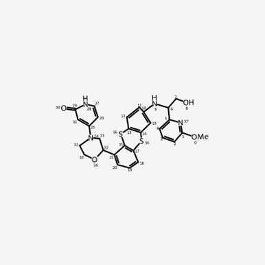 COc1cccc(C(CO)Nc2ccc3c(c2)Sc2cccc(C4CN(c5cc[nH]c(=O)c5)CCO4)c2S3)n1